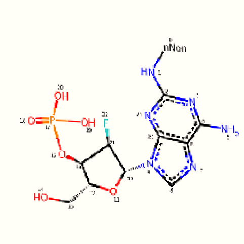 CCCCCCCCCNc1nc(N)c2ncn([C@@H]3O[C@H](CO)[C@@H](OP(=O)(O)O)[C@H]3F)c2n1